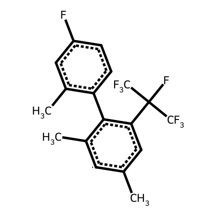 Cc1[c]c(C)c(-c2ccc(F)cc2C)c(C(F)(C(F)(F)F)C(F)(F)F)c1